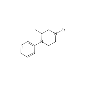 CCN1CCN(c2ccccc2)C(C)C1